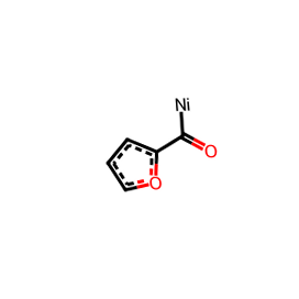 O=[C]([Ni])c1ccco1